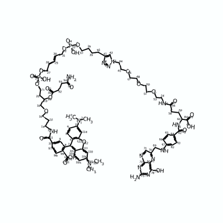 CN(C)c1ccc2c(-c3cc(C(=O)NCCCOCC(CCOP(=O)(O)OCC/C=C/COP(=O)(O)OCCCCc4cn(CCOCCOCCOCCNC(=O)CCC(NC(=O)c5ccc(NCc6cnc7nc(N)nc(O)c7n6)cc5)C(=O)O)nn4)OC(=O)CCC(N)=O)ccc3C(=O)O)c3ccc(=[N+](C)C)cc-3oc2c1